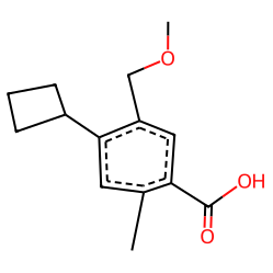 COCc1cc(C(=O)O)c(C)cc1C1CCC1